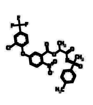 Cc1ccc(S(C)(=O)=NC(=O)C(C)OC(=O)c2cc(Oc3ccc(C(F)(F)F)cc3Cl)ccc2[N+](=O)[O-])cc1